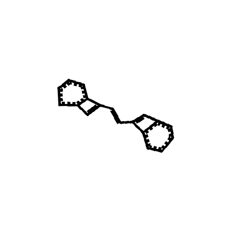 C1=C(/C=C/C2=Cc3ccccc32)c2ccccc21